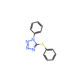 c1ccc(Sc2nnnn2-c2ccccc2)cc1